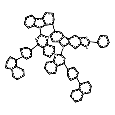 c1ccc(-c2nc3cc4c(cc3s2)c2cc(-c3cccc5c6ccccc6n(-c6nc(-c7ccc(-c8cccc9ccccc89)cc7)c7ccccc7n6)c35)ccc2n4-c2nc(-c3ccc(-c4cccc5ccccc45)cc3)c3ccccc3n2)cc1